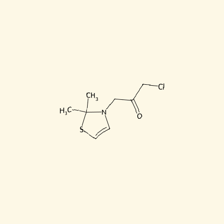 CC1(C)SC=CN1CC(=O)CCl